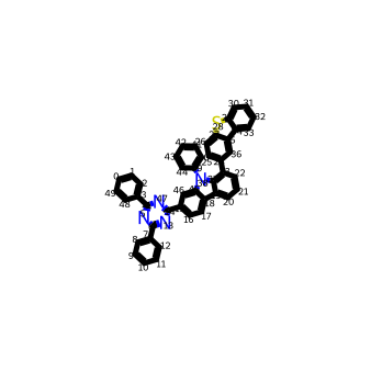 c1ccc(-c2nc(-c3ccccc3)nc(-c3ccc4c5cccc(-c6ccc7sc8ccccc8c7c6)c5n(-c5ccccc5)c4c3)n2)cc1